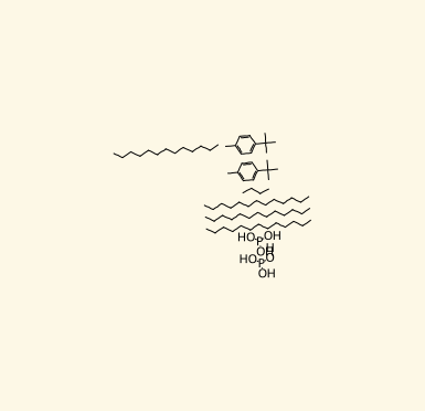 CCCC.CCCCCCCCCCCCC.CCCCCCCCCCCCC.CCCCCCCCCCCCC.CCCCCCCCCCCCC.Cc1ccc(C(C)(C)C)cc1.Cc1ccc(C(C)(C)C)cc1.OP(O)O.OP(O)O